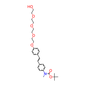 CN(C(=O)OC(C)(C)C)c1ccc(/C=C/c2ccc(OCCOCCOCCOCCO)cc2)cc1